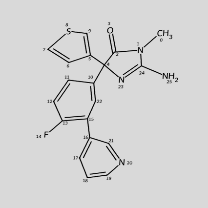 CN1C(=O)C(c2ccsc2)(c2ccc(F)c(-c3cccnc3)c2)N=C1N